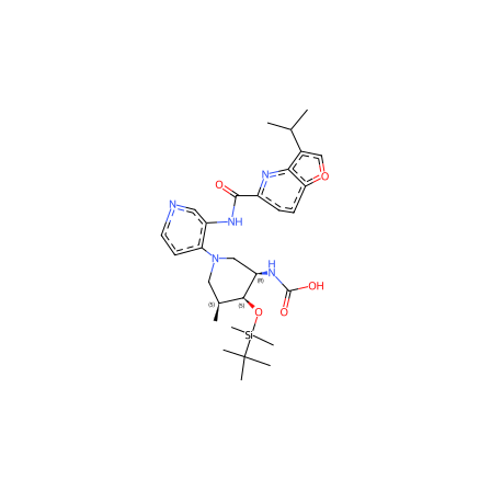 CC(C)c1coc2ccc(C(=O)Nc3cnccc3N3C[C@H](C)[C@H](O[Si](C)(C)C(C)(C)C)[C@H](NC(=O)O)C3)nc12